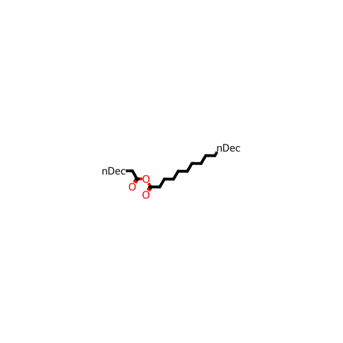 CCCCCCCCCCCCCCCCCCCC(=O)OC(=O)CCCCCCCCCCC